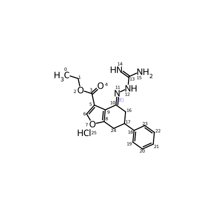 CCOC(=O)c1coc2c1/C(=N/NC(=N)N)CC(c1ccccc1)C2.Cl